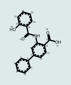 O=C(Nc1cc(-c2ccccc2)ccc1C(=O)O)c1ccccc1O